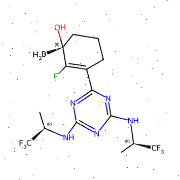 B[C@@]1(O)CCCC(c2nc(N[C@H](C)C(F)(F)F)nc(N[C@H](C)C(F)(F)F)n2)=C1F